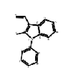 C=Cc1c(C)n(-c2ccccc2)c2ccccc12